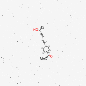 CCC(O)C#CC#Cc1ccc(C(=O)OC)cc1